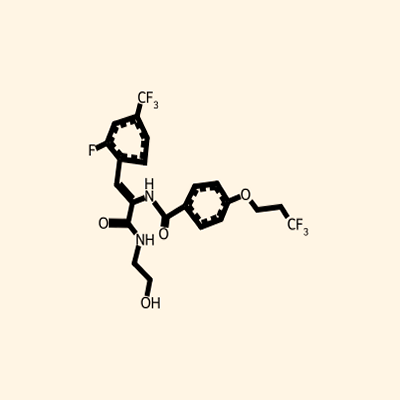 O=C(NCCO)/C(=C/c1ccc(C(F)(F)F)cc1F)NC(=O)c1ccc(OCCC(F)(F)F)cc1